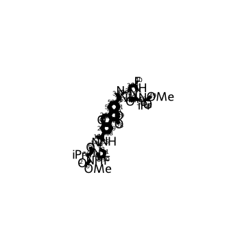 COC(=O)NC(C(=O)N1C[C@H](F)C[C@H]1c1ncc(-c2ccc3c(c2)OCc2c-3c(=O)oc3cc(-c4cnc([C@@H]5C[C@@H](F)CN5C(=O)C(NC(=O)OC)C(C)C)[nH]4)ccc23)[nH]1)C(C)C